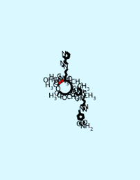 CO[C@]1(C)C[C@@H](C)C(=O)[C@@H]2C(CCCn3cnc(-c4cccnc4)c3)N(C)[C@H]2[C@](C)(OC=O)[C@@H](C)OC(=O)[C@@](C)(F)C(=O)[C@H](C)[C@H]1O[C@@H]1O[C@H](C)C[C@H](N(C)CCc2cn(Cc3ccc(S(N)(=O)=O)cc3)nn2)[C@H]1O